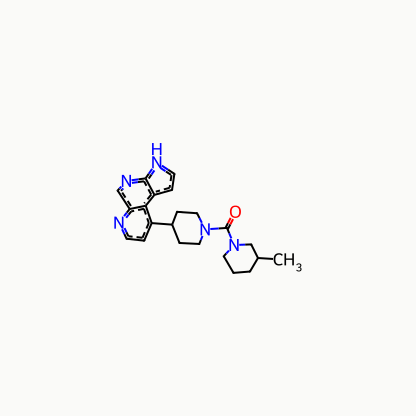 CC1CCCN(C(=O)N2CCC(c3ccnc4cnc5[nH]ccc5c34)CC2)C1